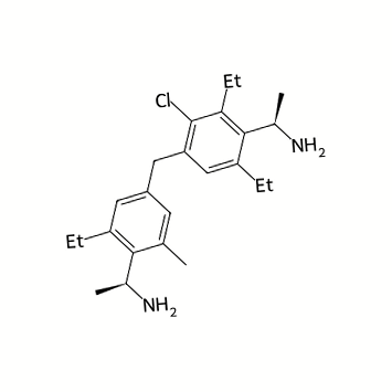 CCc1cc(Cc2cc(CC)c([C@@H](C)N)c(CC)c2Cl)cc(C)c1[C@H](C)N